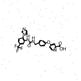 O=C(NCc1ccc(Oc2ccnc(C(=O)O)c2)cc1)Nc1cc(C(F)(F)F)ccc1-n1ccnc1